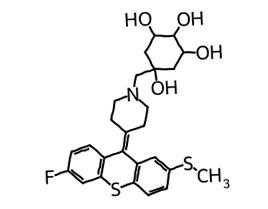 CSc1ccc2c(c1)C(=C1CCN(CC3(O)CC(O)C(O)C(O)C3)CC1)c1ccc(F)cc1S2